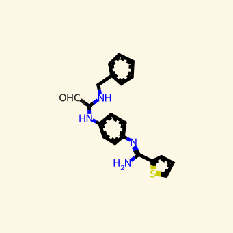 NC(=Nc1ccc(NC(C=O)NCc2ccccc2)cc1)c1cccs1